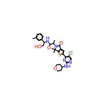 Cc1cccc(C(CO)NC(=O)C(C)N2C(=O)c3cc(-c4nc(NC5CCOCC5)ncc4Cl)sc3C2(C)C)c1